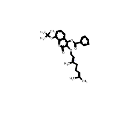 CC(C)=CCC/C(C)=C/COc1c(OC(=O)c2ccccc2)c2cccc(OC(C)(C)C)c2oc1=O